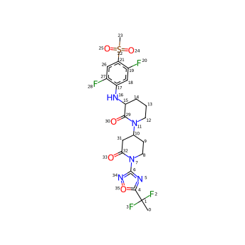 CC(F)(F)c1nc(N2CCC(N3CCCC(Nc4cc(F)c(S(C)(=O)=O)cc4F)C3=O)CC2=O)no1